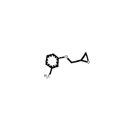 Cc1cccc(OCC2CO2)c1